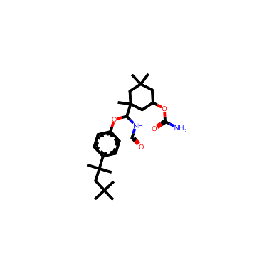 CC(C)(C)CC(C)(C)c1ccc(OC(NC=O)C2(C)CC(OC(N)=O)CC(C)(C)C2)cc1